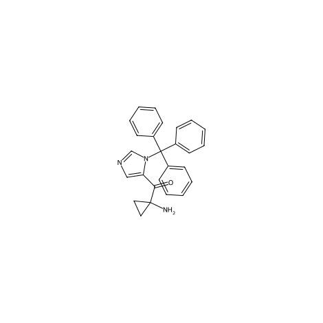 NC1(C(=O)c2cncn2C(c2ccccc2)(c2ccccc2)c2ccccc2)CC1